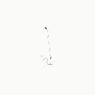 C#CCOCCOCCOCCOC/C=C\[C@@H]1C[C@H](OC=O)N[C@H]1[C@@H](NC(C)=O)[C@](C)(CCC)OC